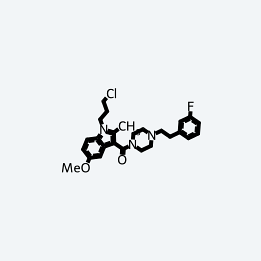 COc1ccc2c(c1)c(C(=O)N1CCN(CCc3cccc(F)c3)CC1)c(C)n2CCCCl